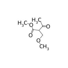 COCC(C(C)=O)C(=O)OC